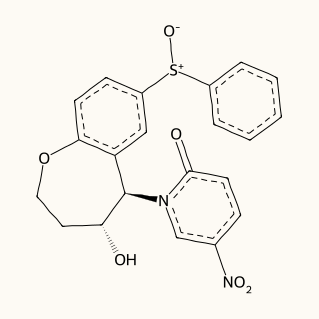 O=c1ccc([N+](=O)[O-])cn1[C@@H]1c2cc([S+]([O-])c3ccccc3)ccc2OCC[C@H]1O